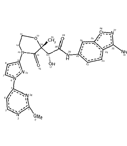 COc1nccc(-n2ccc(N3CCO[C@](C)([C@@H](O)C(=O)Nc4ccc5c(N)noc5c4)C3=O)n2)n1